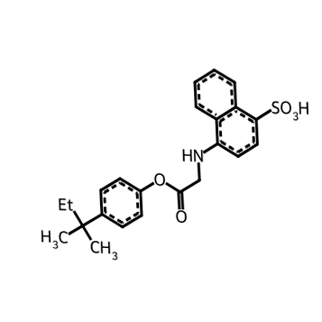 CCC(C)(C)c1ccc(OC(=O)CNc2ccc(S(=O)(=O)O)c3ccccc23)cc1